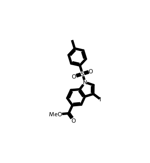 COC(=O)c1ccc2c(c1)c(I)cn2S(=O)(=O)c1ccc(C)cc1